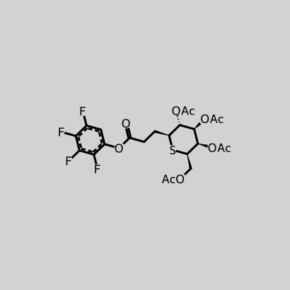 CC(=O)OC[C@H]1S[C@@H](CCC(=O)Oc2cc(F)c(F)c(F)c2F)[C@H](OC(C)=O)[C@@H](OC(C)=O)[C@H]1OC(C)=O